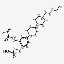 C=C(C)C(=O)OCc1cc(C2CCC(C3CCC(CCCCC)CC3)CC2)ccc1CCC(=O)O